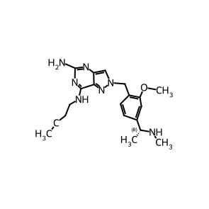 CCCCNc1nc(N)nc2cn(Cc3ccc([C@@H](C)NC)cc3OC)nc12